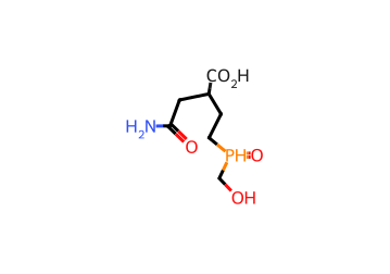 NC(=O)CC(CC[PH](=O)CO)C(=O)O